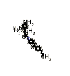 C=CCCC1CCC(C(=O)Oc2ccc(/C=C/C(=O)OCC(C)(C)c3ccc(N)cc3N)cc2)CC1